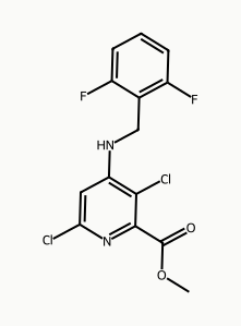 COC(=O)c1nc(Cl)cc(NCc2c(F)cccc2F)c1Cl